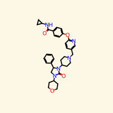 O=C(NC1CC1)c1ccc(Oc2ccc(CN3CCC(N4C(=O)N(C5CCOCC5)CC4c4ccccc4)CC3)cn2)cc1